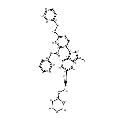 Cn1nc(-c2ccc(OCc3ccccc3)nc2OCc2ccccc2)c2ccc(C#CCOC3CCCCO3)cc21